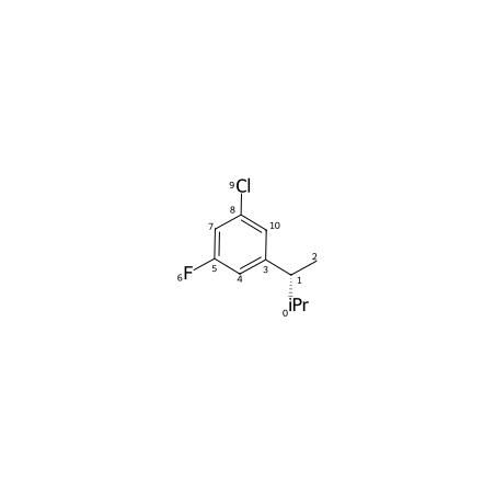 CC(C)[C@@H](C)c1cc(F)cc(Cl)c1